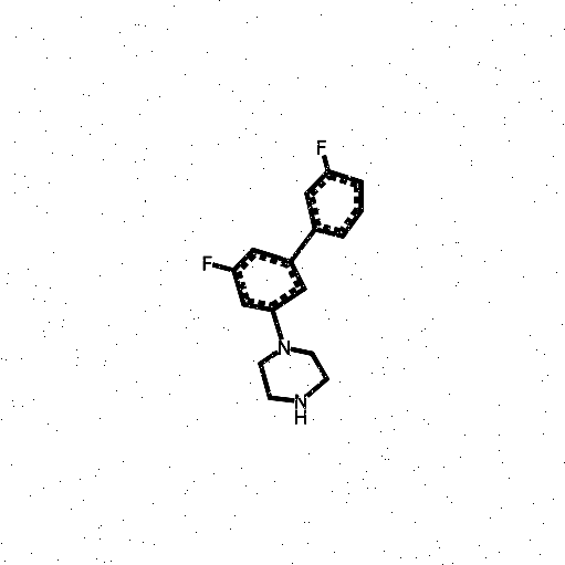 Fc1cccc(-c2cc(F)cc(N3CCNCC3)c2)c1